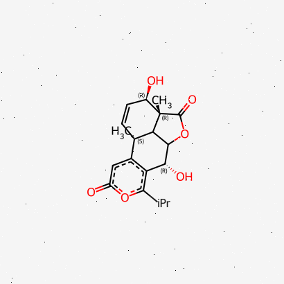 CC(C)c1oc(=O)cc2c1[C@@H](O)C1OC(=O)[C@]3(C)C1[C@]2(C)C=C[C@H]3O